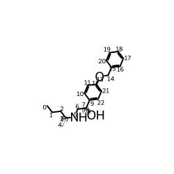 CCC[C@@H](C)NC[C@H](O)c1ccc(OCc2ccccc2)cc1